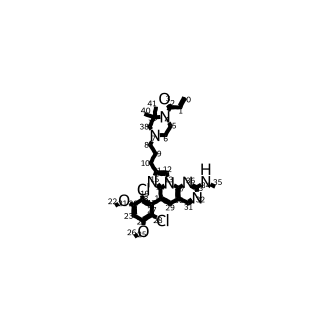 C=CC(=O)N1CCN(CCCc2cn3c(n2)c(-c2c(Cl)c(OC)cc(OC)c2Cl)cc2cnc(NC)nc23)CC1(C)C